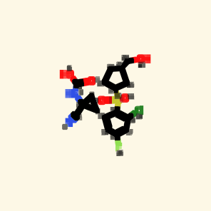 N#CC1(NC(=O)O)CC1.O=S(=O)(c1ccc(F)cc1Cl)[C@H]1CC[C@@H](CO)C1